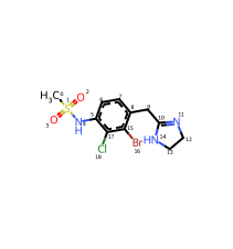 CS(=O)(=O)Nc1ccc(CC2=NCCN2)c(Br)c1Cl